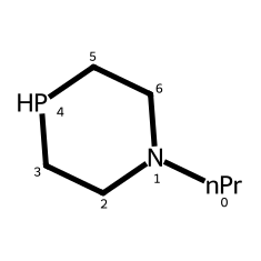 CCCN1CCPCC1